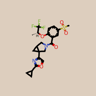 C[C@@H](Oc1ccc(S(C)(=O)=O)cc1C(=O)N1CC2CC2(c2coc(C3CC3)n2)C1)C(F)(F)F